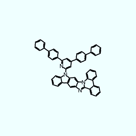 c1ccc(-c2ccc(-c3cc(-c4ccc(-c5ccccc5)cc4)nc(-n4c5ccccc5c5cc6nc7c8ccccc8c8ccccc8n7c6cc54)c3)cc2)cc1